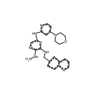 NNc1ncc(Nc2cc(N3CCOCC3)ccn2)nc1NCc1ccc2ncccc2c1